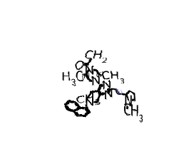 C=CC(=O)N1C[C@H](C)N(c2nc(/C=C/C3CCCN3C)nc3c2CCN(c2cccc4cccc(C)c24)C3)C[C@H]1C